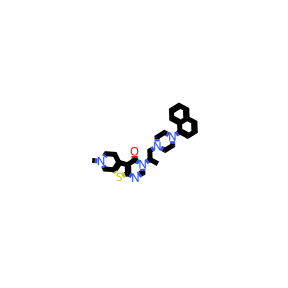 CC(CN1CCN(c2cccc3ccccc23)CC1)n1cnc2sc3c(c2c1=O)CCN(C)C3